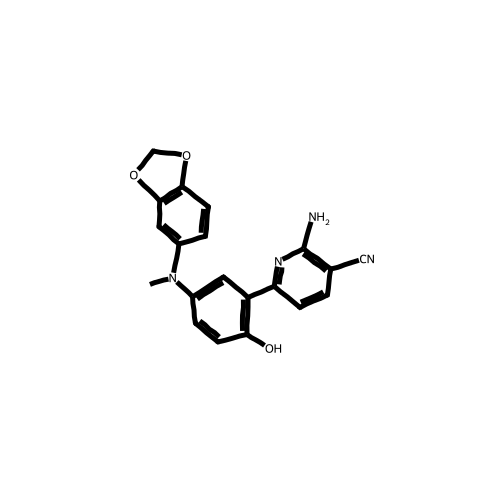 CN(c1ccc2c(c1)OCO2)c1ccc(O)c(-c2ccc(C#N)c(N)n2)c1